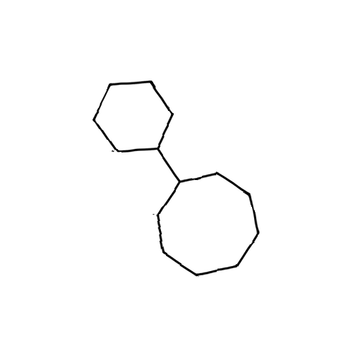 [CH]1CCCCC1C1[CH]CCCCCC1